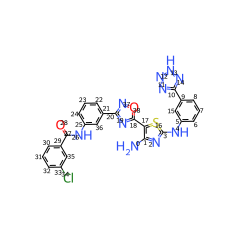 Nc1nc(Nc2cccc(-c3nn[nH]n3)c2)sc1-c1nc(-c2cccc(NC(=O)c3cccc(Cl)c3)c2)no1